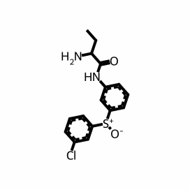 CCC(N)C(=O)Nc1cccc([S+]([O-])c2cccc(Cl)c2)c1